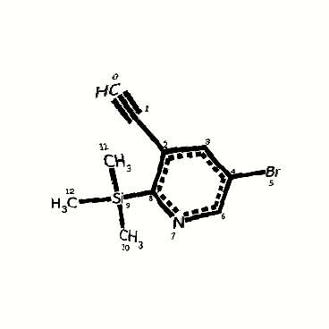 C#Cc1cc(Br)cnc1[Si](C)(C)C